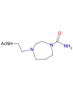 CC(=O)NCCN1CCCN(C(N)=O)CC1